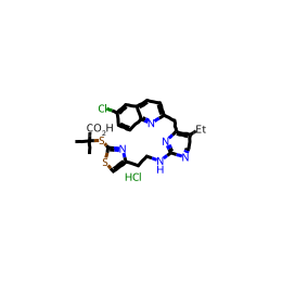 CCc1cnc(NCCc2csc(SC(C)(C)C(=O)O)n2)nc1Cc1ccc2cc(Cl)ccc2n1.Cl